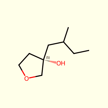 CCC(C)C[C@]1(O)CCOC1